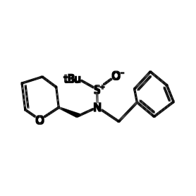 CC(C)(C)[S+]([O-])N(Cc1ccccc1)C[C@@H]1CCC=CO1